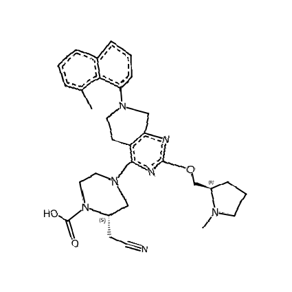 Cc1cccc2cccc(N3CCc4c(nc(OC[C@H]5CCCN5C)nc4N4CCN(C(=O)O)[C@@H](CC#N)C4)C3)c12